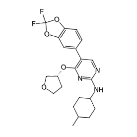 CC1CCC(Nc2ncc(-c3ccc4c(c3)OC(F)(F)O4)c(O[C@@H]3CCOC3)n2)CC1